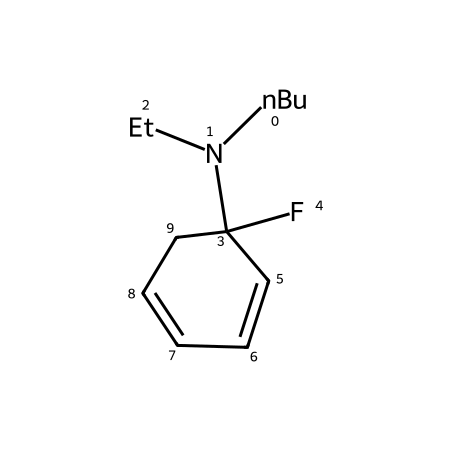 CCCCN(CC)C1(F)C=CC=CC1